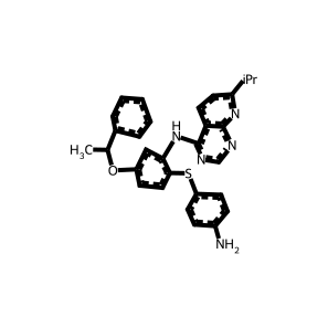 CC(C)c1ccc2c(Nc3cc(OC(C)c4ccccc4)ccc3Sc3ccc(N)cc3)ncnc2n1